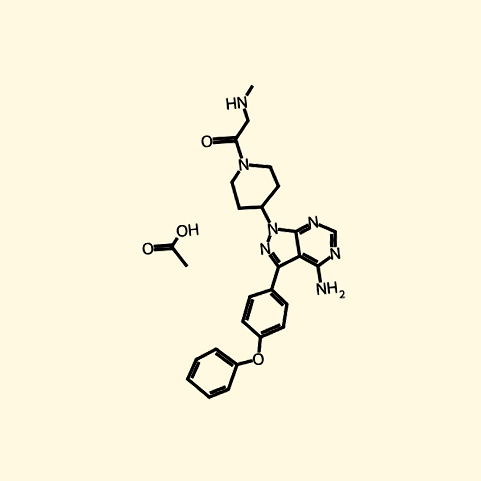 CC(=O)O.CNCC(=O)N1CCC(n2nc(-c3ccc(Oc4ccccc4)cc3)c3c(N)ncnc32)CC1